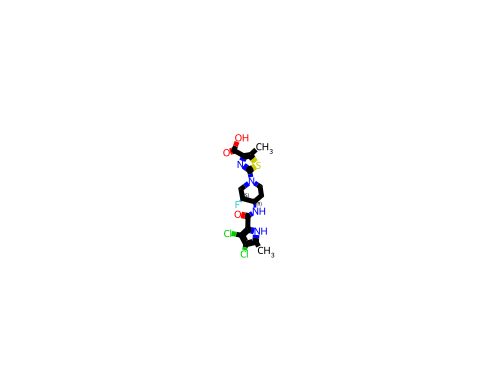 Cc1[nH]c(C(=O)N[C@@H]2CCN(c3nc(C(=O)O)c(C)s3)C[C@@H]2F)c(Cl)c1Cl